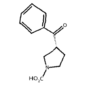 O=C(c1ccccc1)[C@@H]1CCN(C(=O)O)C1